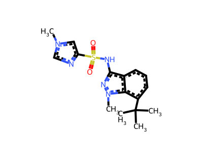 Cn1cnc(S(=O)(=O)Nc2nn(C)c3c(C(C)(C)C)cccc23)c1